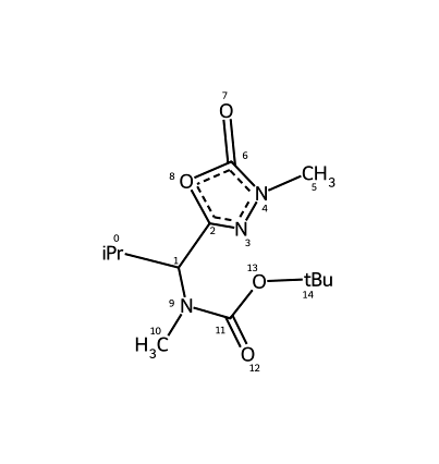 CC(C)C(c1nn(C)c(=O)o1)N(C)C(=O)OC(C)(C)C